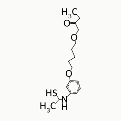 CCC(=O)COCCCCCOc1cccc(NC(C)S)c1